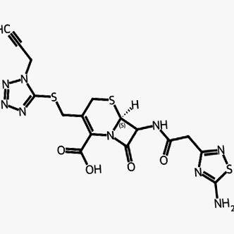 C#CCn1nnnc1SCC1=C(C(=O)O)N2C(=O)C(NC(=O)Cc3nsc(N)n3)[C@@H]2SC1